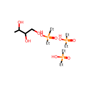 CC(O)C(O)CO.CCP(=O)(O)CC.CCP(=O)(O)CC.CCP(=O)(O)CC